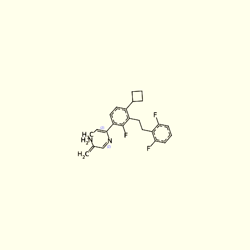 C=C(N)/C=N\C(=C/C)c1ccc(C2CCC2)c(CCc2c(F)cccc2F)c1F